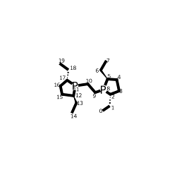 CC[C@H]1CC[C@H](CC)P1CCP1[C@@H](CC)CC[C@@H]1CC